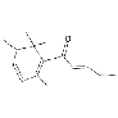 CC/C=C/C(=O)C1=C(C)C=CC(C)C1(C)C